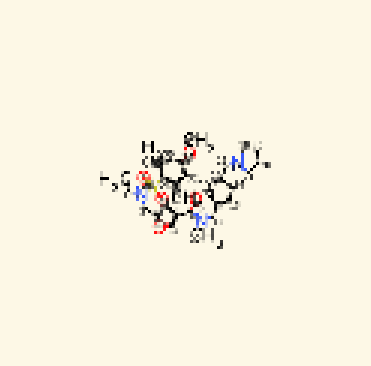 CCN(Cc1cc(C(=O)N(C)Cc2ccc(CN3CCCC3)cc2)co1)S(=O)(=O)c1c(C)cc(OC)cc1C